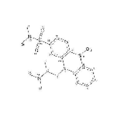 CC(CN1c2ccccc2[S+]([O-])c2ccc(S(=O)(=O)N(C)C)cc21)N(C)C